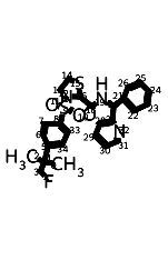 CC(C)(CF)c1ccc(S(=O)(=O)N2CCSC2C(=O)NC(c2ccccc2)c2ccccn2)cc1